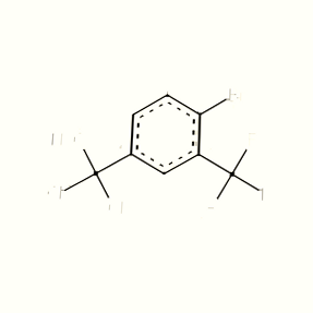 CC(C)(Cl)c1ccc(Br)c(C(F)(F)F)c1